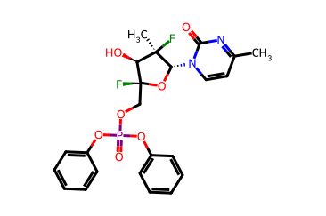 Cc1ccn([C@@H]2O[C@](F)(COP(=O)(Oc3ccccc3)Oc3ccccc3)[C@@H](O)[C@@]2(C)F)c(=O)n1